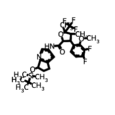 COc1c(C2C(C(=O)Nc3cnc4c(c3)CCC4O[Si](C)(C)C(C)(C)C)OC(C)(C(F)(F)F)C2C)ccc(F)c1F